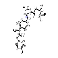 Cc1ccc(CNC(=O)c2ccc(/C=C/C(c3cc(C)c(F)c(C)c3)C(F)(F)F)cc2C)cn1